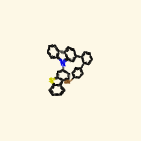 Brc1ccc(-c2ccccc2-c2ccc3c4ccccc4n(-c4ccc5c(c4)sc4ccccc45)c3c2)cc1